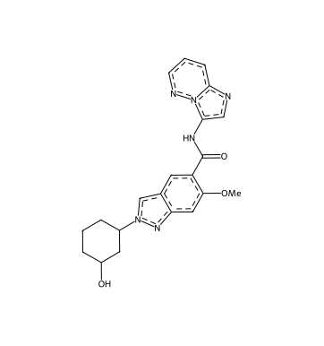 COc1cc2nn(C3CCCC(O)C3)cc2cc1C(=O)Nc1cnc2cccnn12